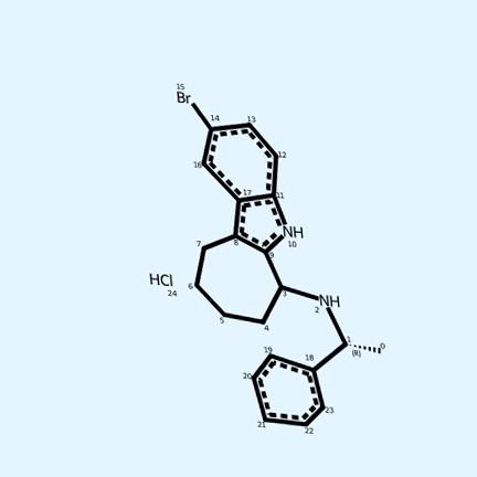 C[C@@H](NC1CCCCc2c1[nH]c1ccc(Br)cc21)c1ccccc1.Cl